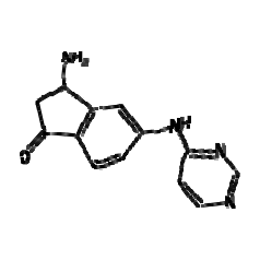 NC1CC(=O)c2ccc(Nc3ccncn3)cc21